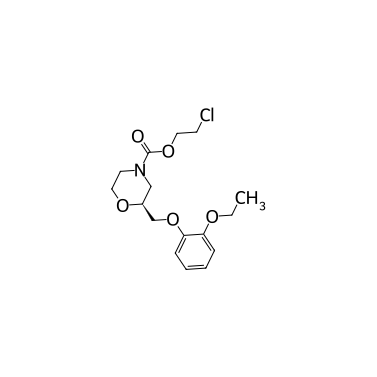 CCOc1ccccc1OC[C@@H]1CN(C(=O)OCCCl)CCO1